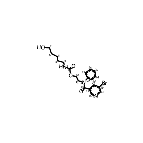 O=C(NCCCCCO)OCCN(C(=O)c1cncc(Br)c1)c1ccccc1